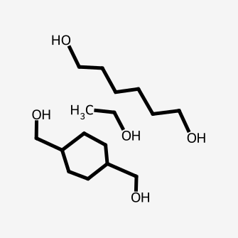 CCO.OCC1CCC(CO)CC1.OCCCCCCO